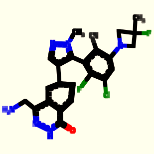 Cn1ncc(-c2ccc3c(=O)[nH]nc(CN)c3c2)c1-c1c(F)c(Cl)cc(N2CC(C)(F)C2)c1C#N